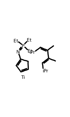 CC(=CC(C)C)C(C)=CC(C)C.CCP(CC)(CC)=NC1=CC=CC1.[Ti]